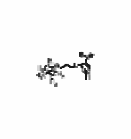 CC(C)(C)[Si](C)(C)OCCCOc1n[nH]cc1[N+](=O)[O-]